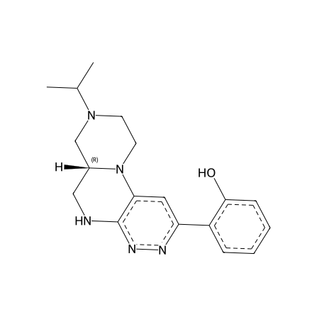 CC(C)N1CCN2c3cc(-c4ccccc4O)nnc3NC[C@@H]2C1